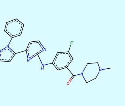 CN1CCN(C(=O)c2cc(Cl)cc(Nc3nccc(-c4ccnn4-c4ccccc4)n3)c2)CC1